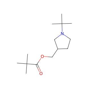 CC(C)(C)C(=O)OCC1CCN(C(C)(C)C)C1